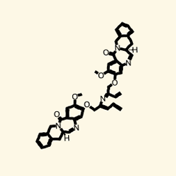 C=C/C=C(COc1cc2c(cc1OC)C(=O)N1Cc3ccccc3C[C@H]1C=N2)\N=C(/C=C)COc1cc2c(cc1OC)C(=O)N1Cc3ccccc3C[C@H]1C=N2